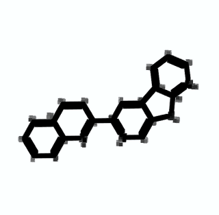 c1ccc2nc(-c3cc4c(cn3)sc3ncccc34)ccc2c1